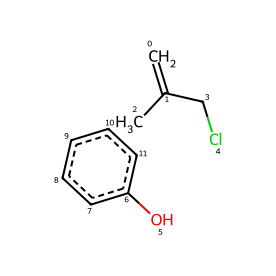 C=C(C)CCl.Oc1ccccc1